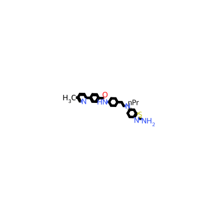 CCCN(CCC1CCC(NC(=O)c2ccc(-c3ccc(C)cn3)cc2)CC1)[C@H]1CCc2nc(N)sc2C1